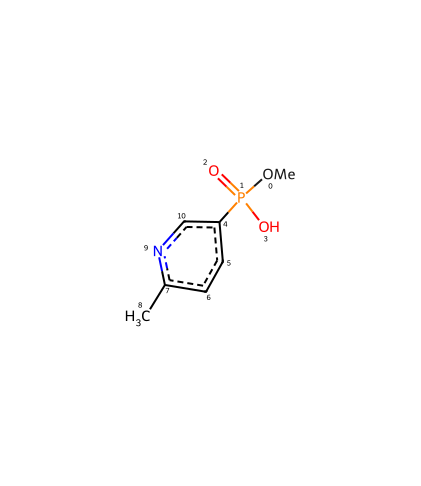 COP(=O)(O)c1ccc(C)nc1